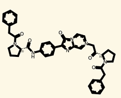 O=C(Cn1ccn2c(=O)c(-c3ccc(NC(=O)[C@@H]4CCCN4C(=O)Cc4ccccc4)cc3)nc-2c1)[C@@H]1CCCN1C(=O)Cc1ccccc1